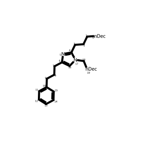 CCCCCCCCCCCCCc1nc(CCCc2ccccc2)cn1CCCCCCCCCCC